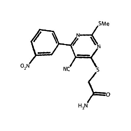 CSc1nc(SCC(N)=O)c(C#N)c(-c2cccc([N+](=O)[O-])c2)n1